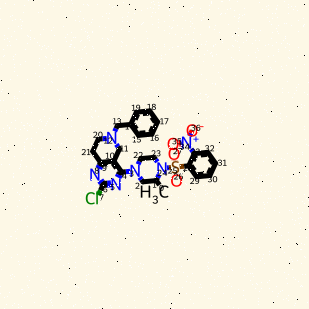 CC1CN(c2nc(Cl)nc3c2CN(Cc2ccccc2)CC3)CCN1S(=O)(=O)c1ccccc1[N+](=O)[O-]